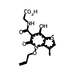 C=CCOn1c(=O)c(C(=O)NCC(=O)O)c(O)c2scc(C)c21